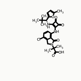 Cc1ccc([C@H](Nc2c(Nc3ccc(Cl)c4c3C(=O)N(C(C)(C)C(=O)O)C4)c(=O)c2=O)C(C)(C)C)o1